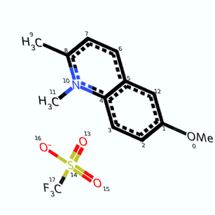 COc1ccc2c(ccc(C)[n+]2C)c1.O=S(=O)([O-])C(F)(F)F